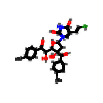 CCCCc1ccc(C(=O)C(O)[C@H]2O[C@@H](n3cc(/C=C/Br)c(=O)[nH]c3=O)C[C@@]2(O)C(=O)c2ccc(CCCC)cc2)cc1